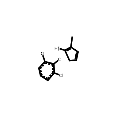 CC1=[C]([Hf])CC=C1.Clc1cccc(Cl)c1Cl